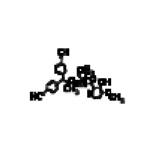 C#Cc1ccc(C(c2ccc(C#C)cc2)[C@H](C)OC[C@](C)(C=O)NC(=O)c2nccc(OC)c2O)cc1